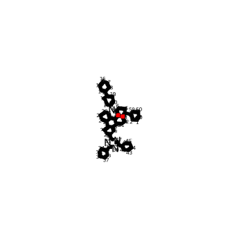 c1ccc(-c2ccc(N(c3ccc(-c4ccccc4)cc3)c3cccc4c5ccc(-c6nc(-c7ccccc7)nc(-c7ccccc7)n6)cc5c5ccccc5c34)cc2)cc1